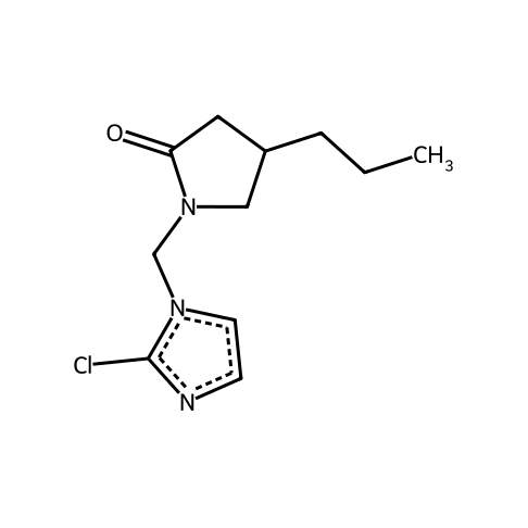 CCCC1CC(=O)N(Cn2ccnc2Cl)C1